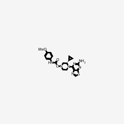 COc1ccc(NC(=O)ON2CCN(c3nc(N)nc4scnc34)[C@@H](C3CC3)C2)cc1